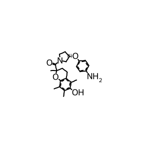 Cc1c(C)c2c(c(C)c1O)CCC(C)(C(=O)N1CC[C@H](Oc3ccc(N)cc3)C1)O2